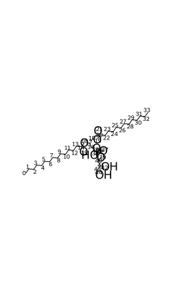 CCCCCCCCCCCCCCC(=O)O[C@H](COC(=O)CCCCCCCCCCCC)COP(=O)(O)OC[C@@H](O)CO